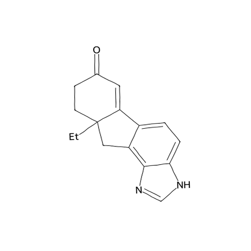 CCC12CCC(=O)C=C1c1ccc3[nH]cnc3c1C2